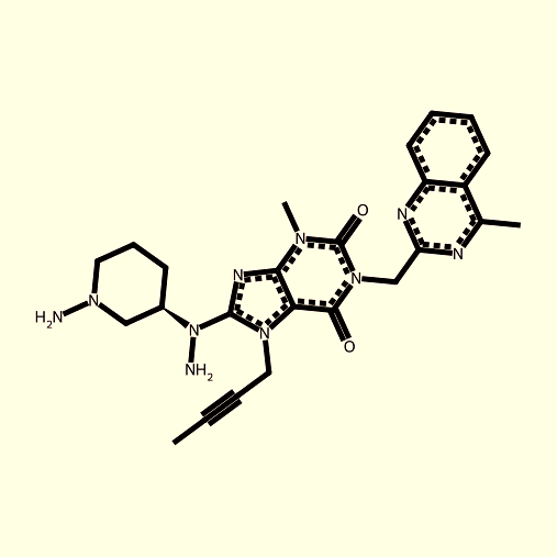 CC#CCn1c(N(N)[C@@H]2CCCN(N)C2)nc2c1c(=O)n(Cc1nc(C)c3ccccc3n1)c(=O)n2C